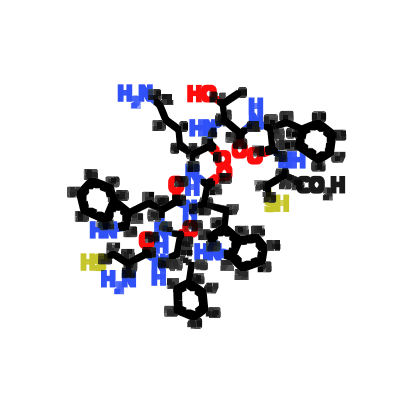 CC(O)[C@H](NC(=O)[C@H](CCCCN)NC(=O)[C@@H](Cc1c[nH]c2ccccc12)NC(=O)[C@H](Cc1c[nH]c2ccccc12)NC(=O)[C@H](Cc1ccccc1)NC(=O)[C@@H](N)CS)C(=O)N[C@@H](Cc1ccccc1)C(=O)N[C@H](CS)C(=O)O